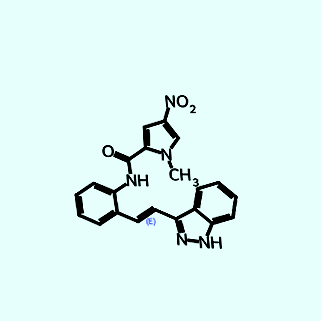 Cn1cc([N+](=O)[O-])cc1C(=O)Nc1ccccc1/C=C/c1n[nH]c2ccccc12